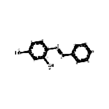 Oc1ccc(N=Nc2ccccc2)c(O)c1